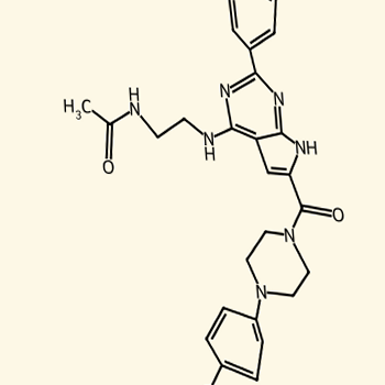 CC(=O)NCCNc1nc(-c2ccccc2)nc2[nH]c(C(=O)N3CCN(c4ccc(F)cc4)CC3)cc12